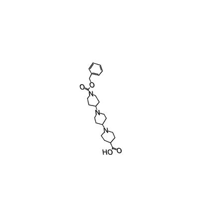 O=C(O)C1CCN(C2CCN(C3CCN(C(=O)OCc4ccccc4)CC3)CC2)CC1